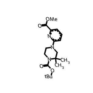 COC(=O)c1cccc(N2CCN(C(=O)OC(C)(C)C)C(C)(C)C2)n1